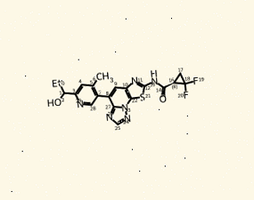 CCC(O)c1cc(C)c(-c2cc3nc(NC(=O)[C@H]4CC4(F)F)sc3n3ncnc23)cn1